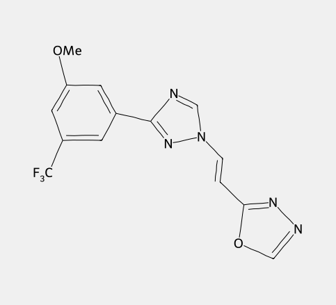 COc1cc(-c2ncn(C=Cc3nnco3)n2)cc(C(F)(F)F)c1